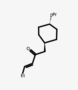 CCC=CC(=O)C[C@H]1CC[C@H](CCC)CC1